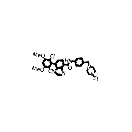 CCN1CCN(Cc2ccc(NC(=O)c3ccc(-c4c(Cl)c(OC)cc(OC)c4Cl)c4nccnc34)cc2)CC1